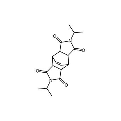 CC(C)N1C(=O)C2C3C=CC(C2C1=O)C1C(=O)N(C(C)C)C(=O)C31